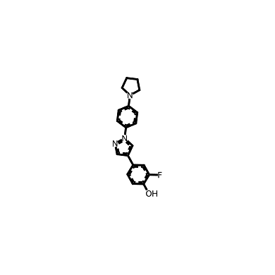 Oc1ccc(-c2cnn(-c3ccc(N4CCCC4)cc3)c2)cc1F